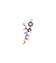 CCOC(=O)CC(=O)Nc1scc(-c2ccc(Cl)cc2)c1C(=O)OCC